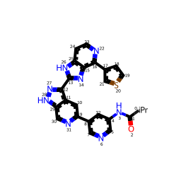 CC(C)C(=O)Nc1cncc(-c2cc3c(-c4nc5c(-c6ccsc6)nccc5[nH]4)n[nH]c3cn2)c1